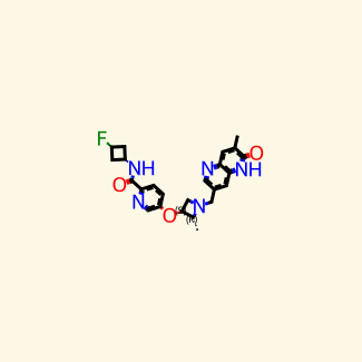 Cc1cc2ncc(CN3C[C@H](Oc4ccc(C(=O)N[C@H]5C[C@H](F)C5)nc4)[C@H]3C)cc2[nH]c1=O